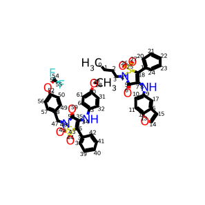 CCCCN1C(=O)C(Nc2ccc3occc3c2)=C(c2ccccc2)S1(=O)=O.COc1ccc(NC2=C(c3ccccc3)S(=O)(=O)N(Cc3ccc(OC(F)F)cc3)C2=O)cc1